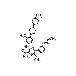 C=CC(=O)Nc1cccc(-c2nc(Nc3ccc(N4CCC(N5CCN(C)CC5)CC4)c(C)c3)c(C(N)=O)nc2CC)c1